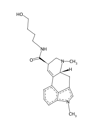 CN1C[C@H](C(=O)NCCCCO)C=C2c3cccc4c3c(cn4C)C[C@H]21